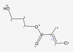 C/C(=C\Cl)C(=O)OCCCO